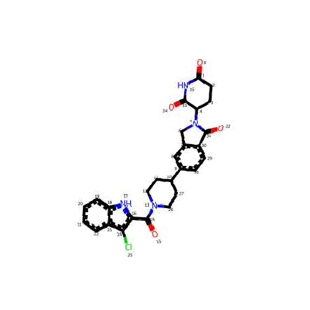 O=C1CCC(N2Cc3cc(C4CCN(C(=O)c5[nH]c6ccccc6c5Cl)CC4)ccc3C2=O)C(=O)N1